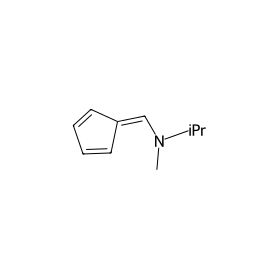 CC(C)N(C)C=C1C=CC=C1